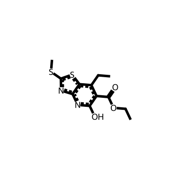 CCOC(=O)c1c(O)nc2nc(SC)sc2c1CC